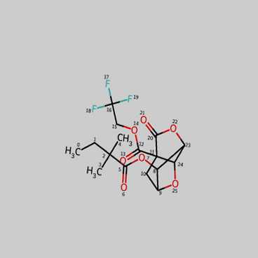 CCC(C)(C)C(=O)OC1C2CC3(C(=O)OCC(F)(F)F)C(=O)OC1C3O2